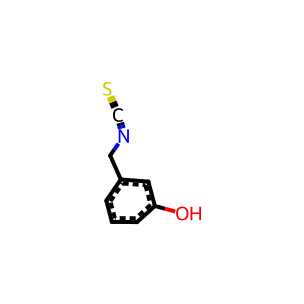 Oc1cccc(CN=C=S)c1